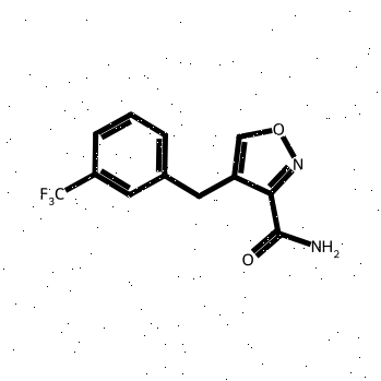 NC(=O)c1nocc1Cc1cccc(C(F)(F)F)c1